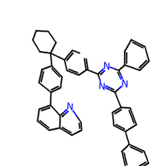 C=C(/C=C\C(=C/C)C1(c2ccc(-c3cccc4cccnc34)cc2)CCCCC1)c1nc(-c2ccccc2)nc(-c2ccc(-c3ccccc3)cc2)n1